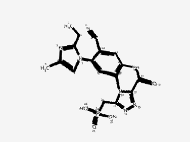 CCc1nc(C)cn1-c1cc2c(cc1C#N)[nH]c(=O)c1nnc(CP(=O)(O)O)n12